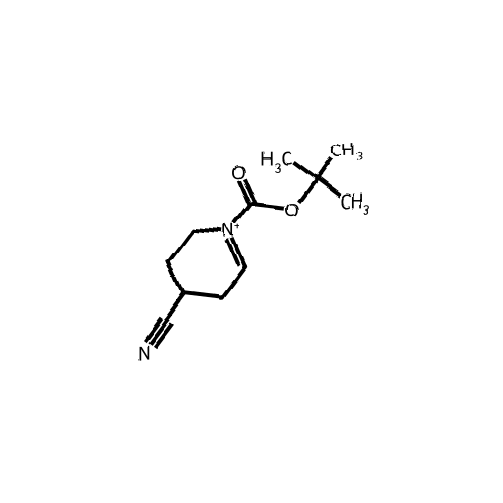 CC(C)(C)OC(=O)[N+]1=CCC(C#N)CC1